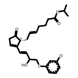 CC(C)OC(=O)CCCC=CC[C@H]1C(=O)CC=C1C=CC(O)COc1cccc(Cl)c1